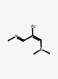 C/N=C/C(=C\N(C)C)C(C)=O